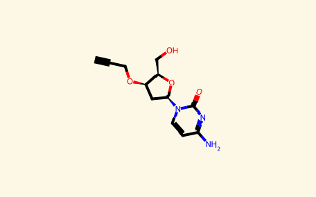 C#CCO[C@@H]1C[C@H](n2ccc(N)nc2=O)O[C@@H]1CO